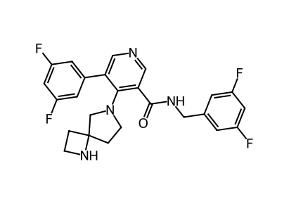 O=C(NCc1cc(F)cc(F)c1)c1cncc(-c2cc(F)cc(F)c2)c1N1CCC2(CCN2)C1